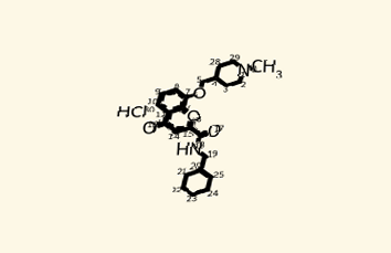 CN1CCC(COc2cccc3c(=O)cc(C(=O)NCC4CCCCC4)oc23)CC1.Cl